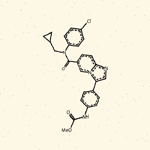 COC(=O)Nc1ccc(-c2cnc3ccc(C(=O)N(CC4CC4)c4ccc(Cl)cc4)cn23)cc1